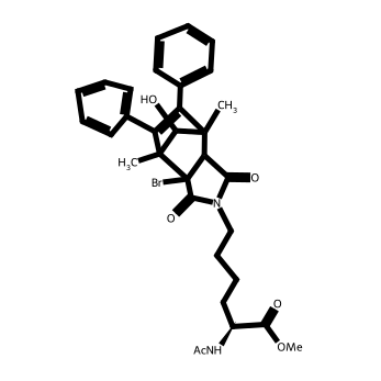 COC(=O)[C@H](CCCCN1C(=O)C2C3(C)C(c4ccccc4)=C(c4ccccc4)C(C)(C3O)C2(Br)C1=O)NC(C)=O